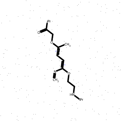 C=N/C(=C\C=C(/C)OCC(=O)C(C)C)OCCNC(C)C